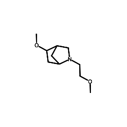 COCCN1CC2CC1CC2OC